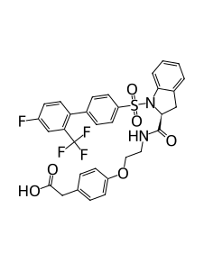 O=C(O)Cc1ccc(OCCNC(=O)[C@@H]2Cc3ccccc3N2S(=O)(=O)c2ccc(-c3ccc(F)cc3C(F)(F)F)cc2)cc1